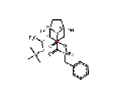 CC(C)(C)OC(=O)N1[C@H]2CC[C@@H]1[C@@H](C(O[Si](C)(C)C)C(F)(F)F)N(C(=O)OCc1ccccc1)C2